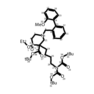 CCOP1(=O)CCN(Cc2ccccc2-c2ccccc2OC)CC1(CCCCN(C(=O)OC(C)(C)C)C(=O)OC(C)(C)C)C(=O)OC(C)(C)C